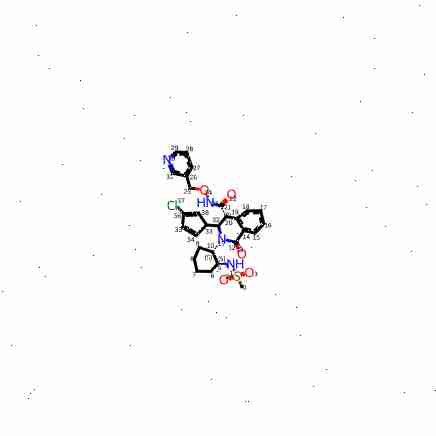 CS(=O)(=O)N[C@H]1CCCC[C@@H]1N1C(=O)c2ccccc2[C@@H](C(=O)NOCc2cccnc2)C1C1C=CC(Cl)=C1